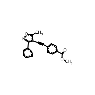 COC(=O)c1ccc(C#Cc2c(-c3ccccc3)noc2C)cc1